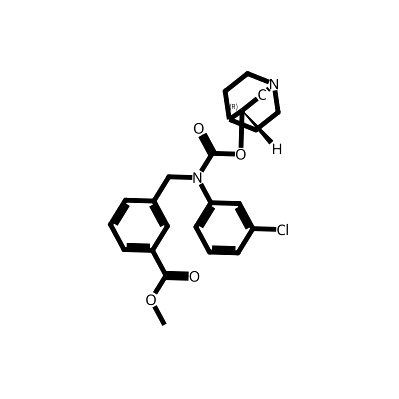 COC(=O)c1cccc(CN(C(=O)O[C@H]2CN3CCC2CC3)c2cccc(Cl)c2)c1